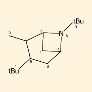 CC1C2CC(CC1C(C)(C)C)N2C(C)(C)C